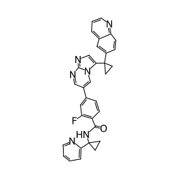 O=C(NC1(c2ccccn2)CC1)c1ccc(-c2cnc3ncc(C4(c5ccc6ncccc6c5)CC4)n3c2)cc1F